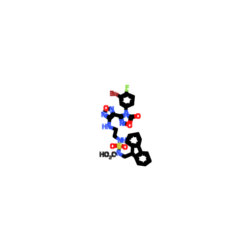 O=C(O)N(CC1c2ccccc2-c2ccccc21)S(=O)(=O)NCCNc1nonc1-c1noc(=O)n1-c1ccc(F)c(Br)c1